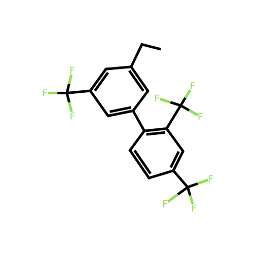 CCc1cc(-c2ccc(C(F)(F)F)cc2C(F)(F)F)cc(C(F)(F)F)c1